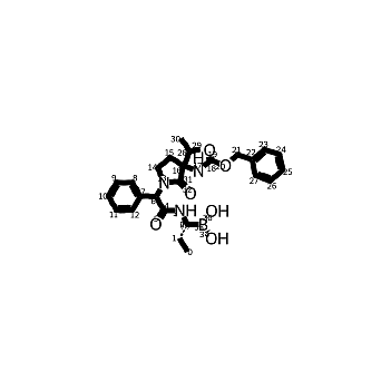 CC[C@H](NC(=O)C(c1ccccc1)N1CCC(NC(=O)OCc2ccccc2)(C(C)C)C1=O)B(O)O